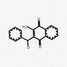 NC1=C(C(Cl)c2ccccc2)C(=O)c2ccccc2C1=O